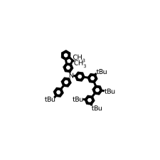 CC(C)(C)c1ccc(-c2ccc(N(c3ccc(-c4cc(-c5cc(-c6cc(C(C)(C)C)cc(C(C)(C)C)c6)cc(C(C)(C)C)c5)cc(C(C)(C)C)c4)cc3)c3ccc4c(c3)C(C)(C)c3ccccc3-4)cc2)cc1